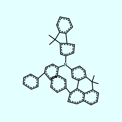 CC1(C)c2ccccc2-c2ccc(N(c3ccc(-c4ccccc4)cc3)c3ccc4c(c3)-c3c(-c5ccccc5)ccc5cccc(c35)C4(C)C)cc21